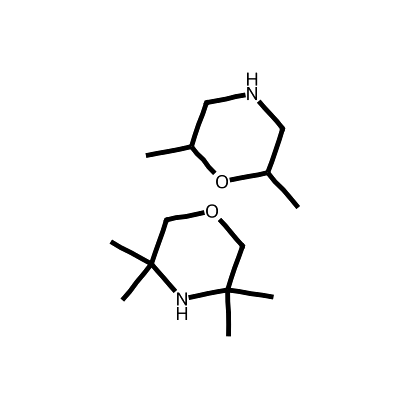 CC1(C)COCC(C)(C)N1.CC1CNCC(C)O1